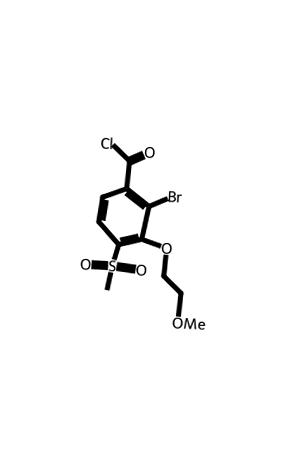 COCCOc1c(S(C)(=O)=O)ccc(C(=O)Cl)c1Br